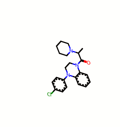 CC(C(=O)N1CCN(c2ccc(Cl)cc2)c2ccccc21)N1CCCCC1